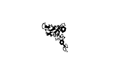 COC(=O)c1ccc(NC(=O)[C@@H]2N[C@@H](CC(C)(C)C)[C@@]3(C(=O)Nc4nc(Cl)ncc43)[C@H]2c2cccc(Cl)c2F)c(OC)c1